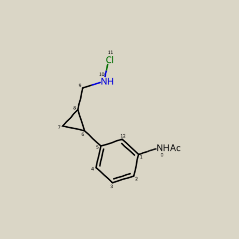 CC(=O)Nc1cccc(C2CC2CNCl)c1